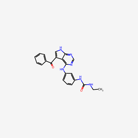 CCNC(=O)Nc1cccc(Nc2ncnc3[nH]cc(C(=O)c4ccccc4)c23)c1